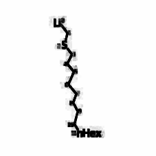 [Li][CH2]SCCCCCCCCCCCCCC